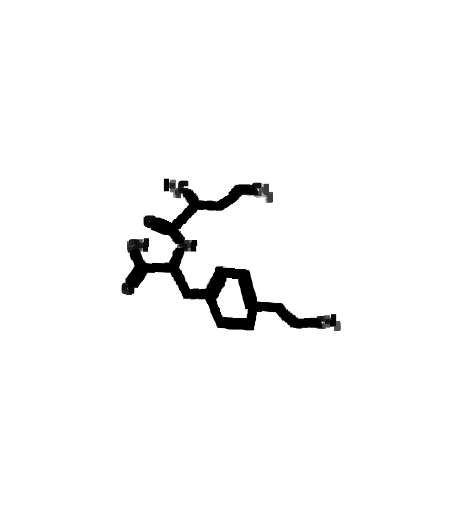 CCCc1ccc(CC(NC(=O)C(C)CCC)C(=O)O)cc1